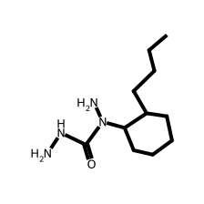 CCCCC1CCCCC1N(N)C(=O)NN